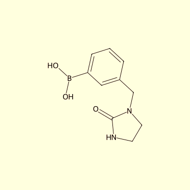 O=C1NCCN1Cc1cccc(B(O)O)c1